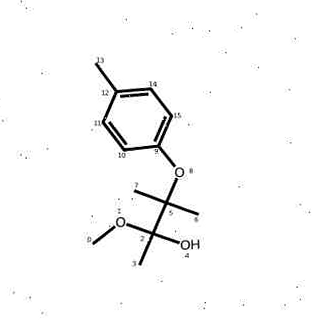 COC(C)(O)C(C)(C)Oc1ccc(C)cc1